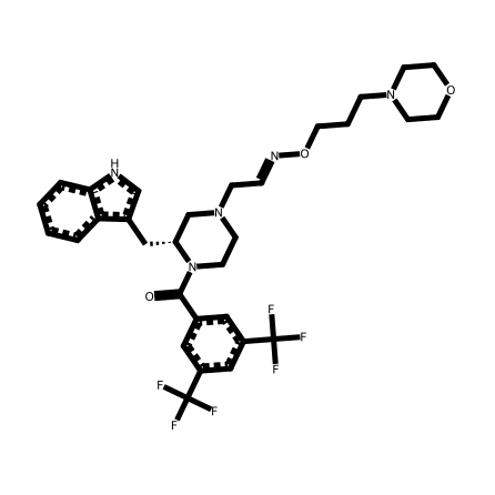 O=C(c1cc(C(F)(F)F)cc(C(F)(F)F)c1)N1CCN(CC=NOCCCN2CCOCC2)C[C@H]1Cc1c[nH]c2ccccc12